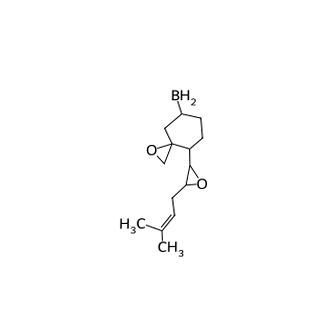 BC1CCC(C2OC2CC=C(C)C)C2(CO2)C1